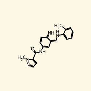 Cc1ccccc1N/C=C1/C=C(NC(=O)c2ccnn2C)C=CC1=N